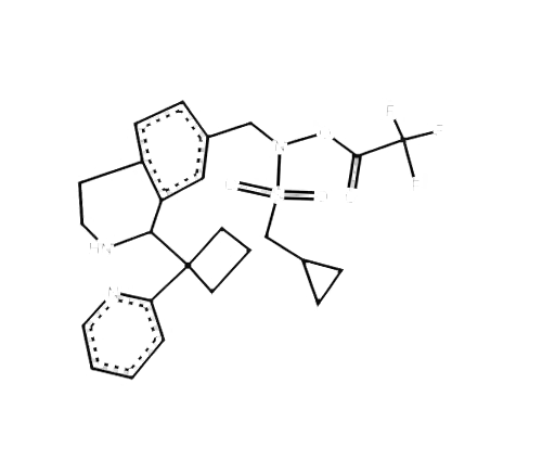 O=C(ON(Cc1ccc2c(c1)C(C1(c3ccccn3)CCC1)NCC2)S(=O)(=O)CC1CC1)C(F)(F)F